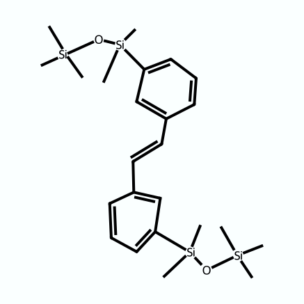 C[Si](C)(C)O[Si](C)(C)c1cccc(/C=C/c2cccc([Si](C)(C)O[Si](C)(C)C)c2)c1